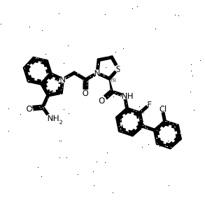 NC(=O)c1cn(CC(=O)N2CCS[C@H]2C(=O)Nc2cccc(-c3ccccc3Cl)c2F)c2ccccc12